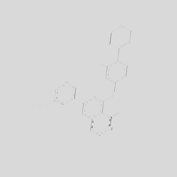 COc1cncc(-c2cc3cc[nH]c(=O)c3c(Nc3ccc(C4=CCNCC4)c(C)c3)n2)n1